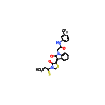 O=C(CN1C(=O)C(=C2SCN(C(=S)CS(=O)(=O)O)C2=O)c2ccccc21)Nc1cccc(C(F)(F)F)c1